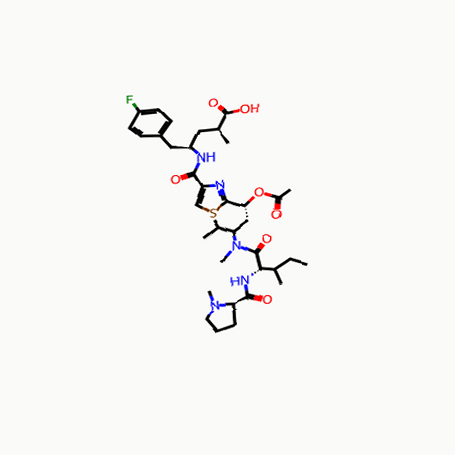 CCC(C)[C@H](NC(=O)[C@H]1CCCN1C)C(=O)N(C)C(C[C@@H](OC(C)=O)c1nc(C(=O)N[C@@H](Cc2ccc(F)cc2)C[C@H](C)C(=O)O)cs1)C(C)C